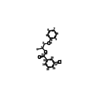 CC(COc1ccccc1)OC(=O)c1cccc(Cl)c1